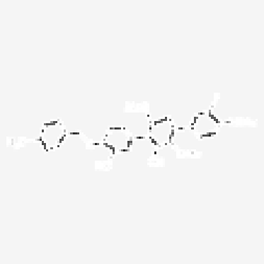 COc1cc(-c2ccc(NC(C)=O)c(F)c2)c(OC)c(O)c1-c1ccc(OCc2ccc(C)cc2)c(O)c1